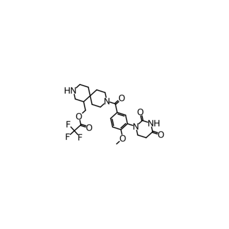 COc1ccc(C(=O)N2CCC3(CCNCC3COC(=O)C(F)(F)F)CC2)cc1N1CCC(=O)NC1=O